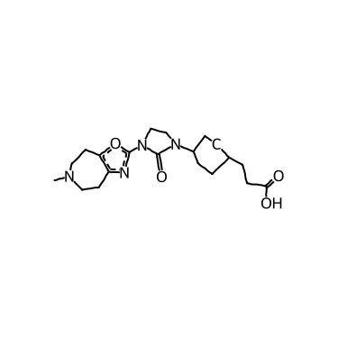 CN1CCc2nc(N3CCN(C4CCC(CCC(=O)O)CC4)C3=O)oc2CC1